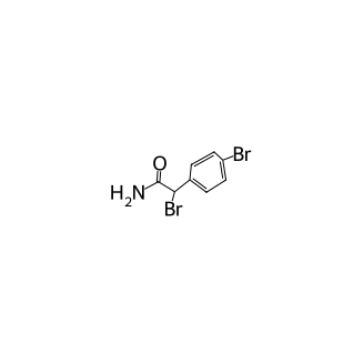 NC(=O)C(Br)c1ccc(Br)cc1